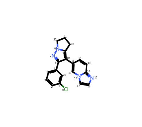 Clc1cccc(-c2nn3c(c2-c2ccc4nccn4c2)CCC3)c1